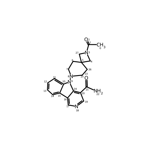 CC(=O)N1CC2(CCN(n3c4ccccc4c4cncc(C(N)=O)c43)CC2)C1